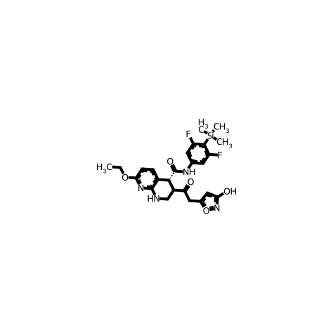 CCOc1ccc2c(n1)NCC(C(=O)Cc1cc(O)no1)[C@H]2C(=O)Nc1cc(F)c([Si](C)(C)C)c(F)c1